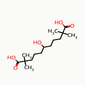 CC(C)(CCCC(O)CCCC(C)(C)C(=O)O)C(=O)O